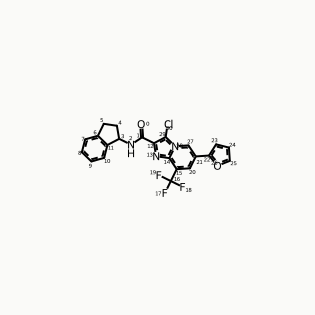 O=C(NC1CCc2ccccc21)c1nc2c(C(F)(F)F)cc(-c3ccco3)cn2c1Cl